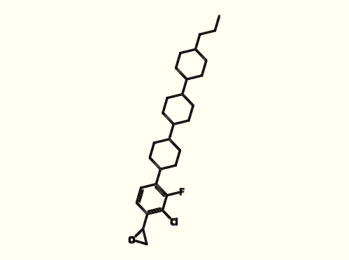 CCCC1CCC(C2CCC(C3CCC(c4ccc(C5CO5)c(Cl)c4F)CC3)CC2)CC1